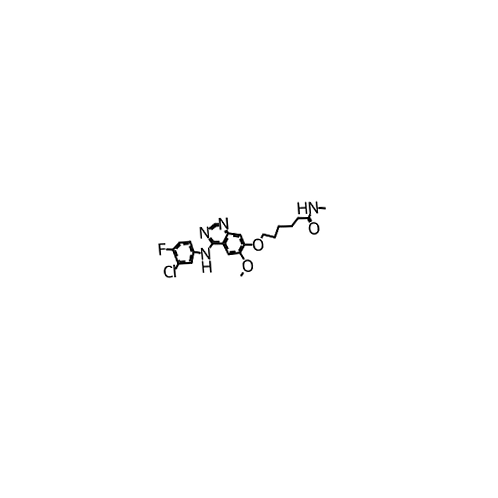 CNC(=O)CCCCCOc1cc2ncnc(Nc3ccc(F)c(Cl)c3)c2cc1OC